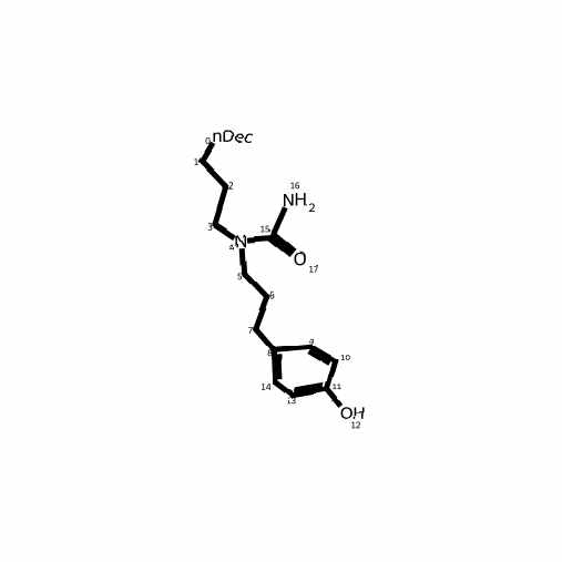 CCCCCCCCCCCCCN(CCCc1ccc(O)cc1)C(N)=O